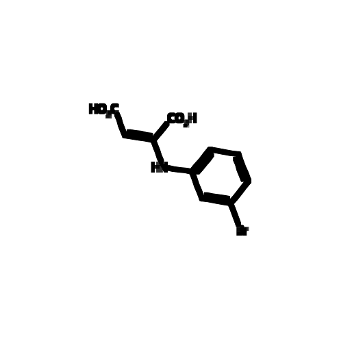 O=C(O)/C=C(/Nc1cccc(Br)c1)C(=O)O